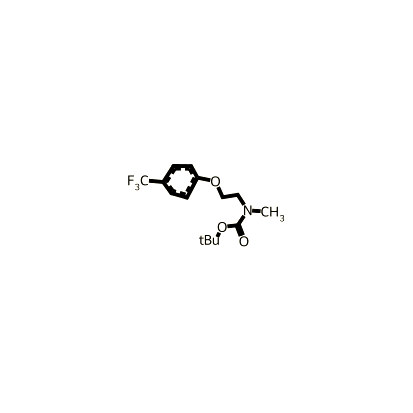 CN(CCOc1ccc(C(F)(F)F)cc1)C(=O)OC(C)(C)C